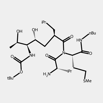 CCCCNC(=O)[C@H](CCSC)N(C(=O)[C@H](CC(C)C)C[C@@H](O)[C@@H](NC(=O)OC(C)(C)C)[C@@H](C)O)C(=O)[C@@H](N)C(C)C